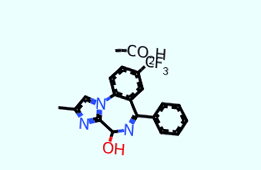 CC(=O)O.Cc1cn2c(n1)C(O)N=C(c1ccccc1)c1cc(C(F)(F)F)ccc1-2